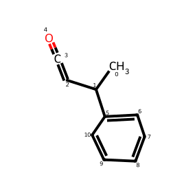 CC(C=C=O)c1ccccc1